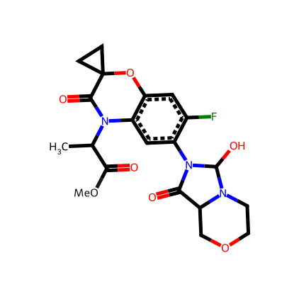 COC(=O)C(C)N1C(=O)C2(CC2)Oc2cc(F)c(N3C(=O)C4COCCN4C3O)cc21